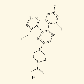 CC(C)CC(=O)N1CCN(c2cnc(-c3ccc(F)cc3F)c(-c3ccncc3CI)n2)CC1